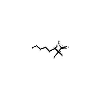 CCCCCC1NC(=O)C1(C)C